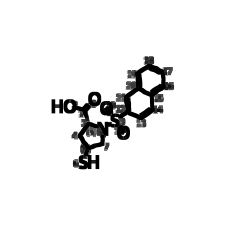 O=C(O)[C@@H]1C[C@H](S)CN1S(=O)(=O)c1ccc2ccccc2c1